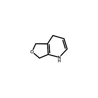 C1=CNC2=C(C1)COC2